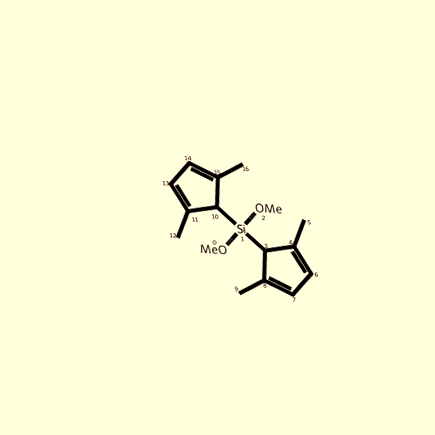 CO[Si](OC)(C1C(C)=CC=C1C)C1C(C)=CC=C1C